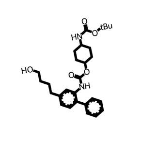 CC(C)(C)OC(=O)NC1CCC(OC(=O)Nc2cc(CCCCO)ccc2-c2ccccc2)CC1